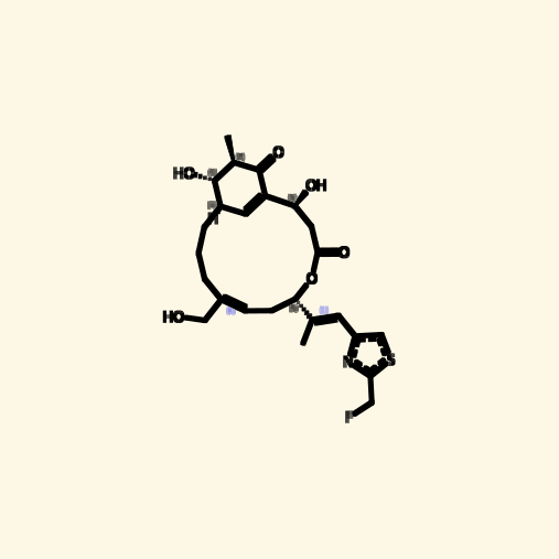 C/C(=C\c1csc(CF)n1)[C@@H]1C/C=C(/CO)CCC[C@@H]2C=C(C(=O)[C@H](C)[C@H]2O)[C@@H](O)CC(=O)O1